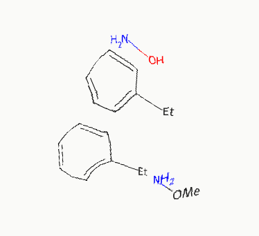 CCc1ccccc1.CCc1ccccc1.CON.NO